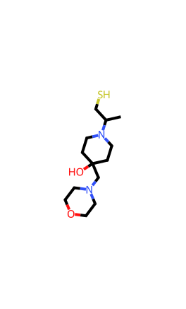 CC(CS)N1CCC(O)(CN2CCOCC2)CC1